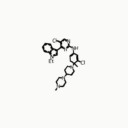 CCn1cc(-c2nc(NC3=CCC(C)(N4CCC(N5CCN(C)CC5)CC4)C(Cl)=C3)ncc2Cl)c2ccccc21